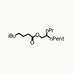 CCCCCC(CCC)COC(=O)CCCC(C)CC